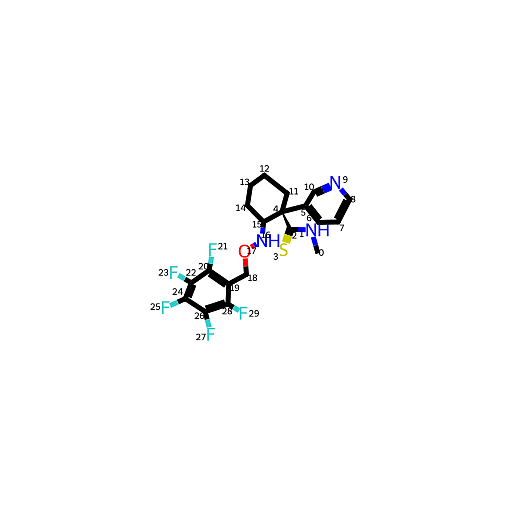 CNC(=S)[C@]1(c2cccnc2)CCCCC1NOCc1c(F)c(F)c(F)c(F)c1F